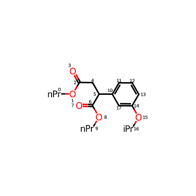 CCCOC(=O)CC(C(=O)OCCC)c1cccc(OC(C)C)c1